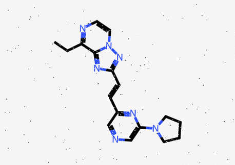 CCc1nccn2nc(C=Cc3cncc(N4CCCC4)n3)nc12